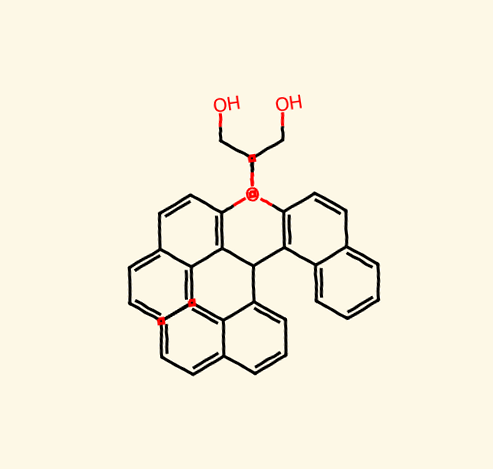 OCCOc1ccc2ccccc2c1C(c1cccc2ccccc12)c1c(OCCO)ccc2ccccc12